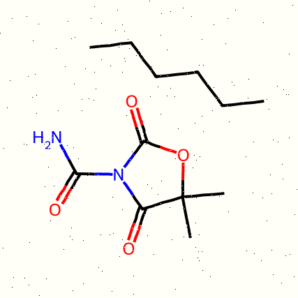 CC1(C)OC(=O)N(C(N)=O)C1=O.CCCCCC